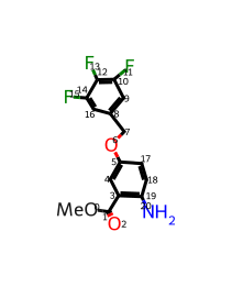 COC(=O)c1cc(OCc2cc(F)c(F)c(F)c2)ccc1N